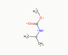 COC(=O)N[C](C)C